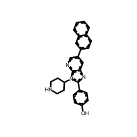 Oc1ccc(-c2nc3cc(-c4ccc5ccccc5c4)cnc3n2C2CCNCC2)cc1